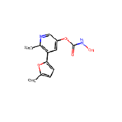 COc1ncc(OC(=O)NO)cc1-c1ccc(C=O)o1